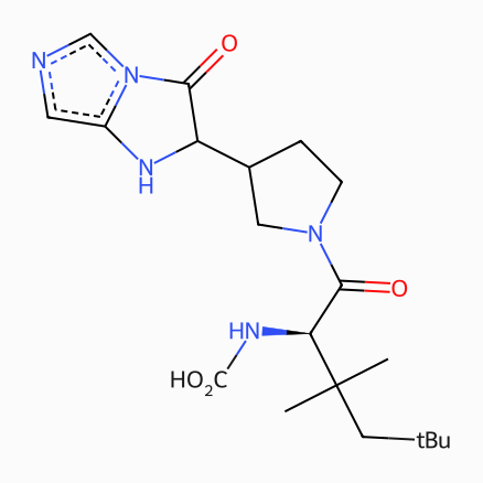 CC(C)(C)CC(C)(C)[C@@H](NC(=O)O)C(=O)N1CCC(C2Nc3cncn3C2=O)C1